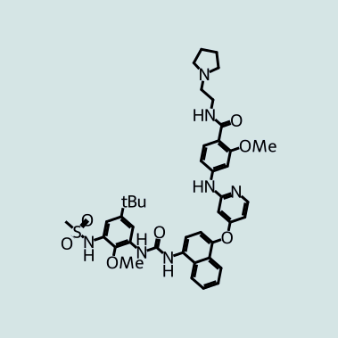 COc1cc(Nc2cc(Oc3ccc(NC(=O)Nc4cc(C(C)(C)C)cc(NS(C)(=O)=O)c4OC)c4ccccc34)ccn2)ccc1C(=O)NCCN1CCCC1